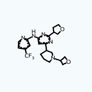 FC(F)(F)c1ccnc(Nc2cc(C3CCCN(C4COC4)C3)nc(C3CCOC3)n2)c1